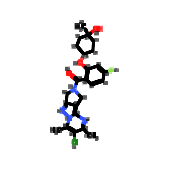 Cc1nc2c3c(nn2c(C)c1Cl)CN(C(=O)c1ccc(F)cc1O[C@H]1CC[C@@](C)(O)CC1)C3